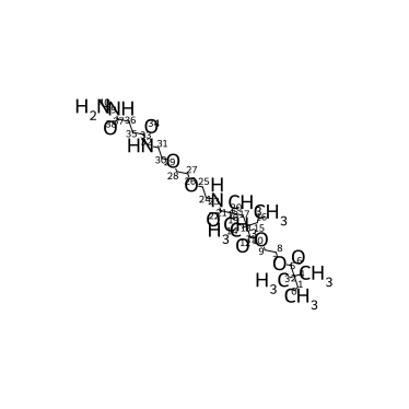 CCC(C)(C)C(=O)OCCOC(=O)C(C)(CC)CC(C)(C)C(=O)NCCOCCOCCNC(=O)CCC(=O)NN